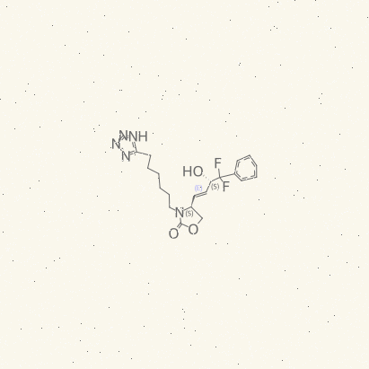 O=C1OC[C@H](/C=C/[C@H](O)C(F)(F)c2ccccc2)N1CCCCCCc1nnn[nH]1